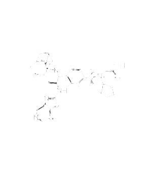 O=C(O)CN(C1CCCC1)S(=O)(=O)c1ccc(C(NC23CC4CC(CC(C4)C2)C3)C(=O)Nc2nc3cncnc3s2)cc1